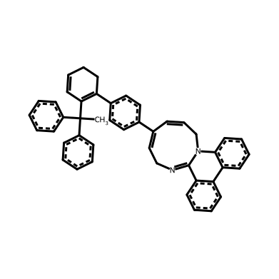 CC(C1=C(c2ccc(C3=C/C/N=C4/c5ccccc5-c5ccccc5N4C/C=C\3)cc2)CCC=C1)(c1ccccc1)c1ccccc1